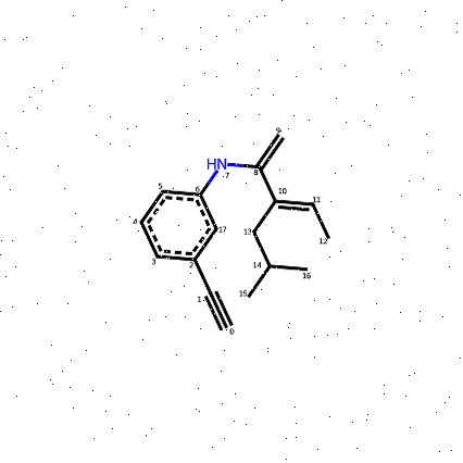 C#Cc1cccc(NC(=C)/C(=C/C)CC(C)C)c1